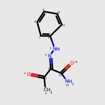 CC(=O)C(=NNc1ccccc1)C(N)=O